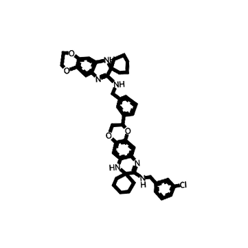 Clc1cccc(CNC2=Nc3cc4c(cc3NC23CCCCC3)OCC(c2cccc(CNC3=Nc5cc6c(cc5NC35CCCCC5)OCCO6)c2)O4)c1